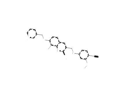 COc1cc(NCc2cc3ccc(OCc4cccnc4)c(Cl)c3[nH]c2=O)ccc1C#N